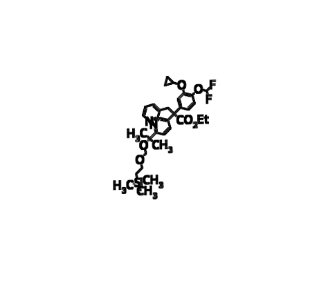 CCOC(=O)C(Cc1cccnc1)(c1ccc(C(C)(C)OCOCC[Si](C)(C)C)nc1)c1ccc(OC(F)F)c(OC2CC2)c1